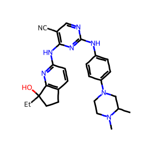 CCC1(O)CCc2ccc(Nc3nc(Nc4ccc(N5CCN(C)C(C)C5)cc4)ncc3C#N)nc21